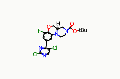 CC(C)(C)OC(=O)N1CCN2c3cc(-c4nc(Cl)ncc4Cl)cc(F)c3OC[C@H]2C1